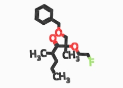 CCCC(C)C(=O)C(C)(COCc1ccccc1)OCCF